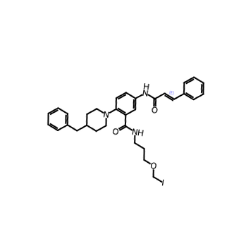 O=C(/C=C/c1ccccc1)Nc1ccc(N2CCC(Cc3ccccc3)CC2)c(C(=O)NCCCOCI)c1